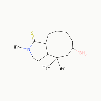 BC1CCCCC2C(=S)N(C(C)C)CCC2C(C)(C(C)C)C1